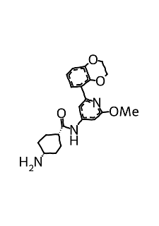 COc1cc(NC(=O)[C@H]2CC[C@@H](N)CC2)cc(-c2cccc3c2OCCO3)n1